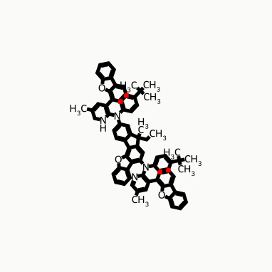 CCC1(C)c2cc(N(C3=C(c4cccc5c4oc4ccccc45)C=C(C)CN3)c3ccc(C(C)(C)C)cc3)ccc2-c2c1cc(N(c1ccc(C(C)(C)C)cc1)c1ncc(C)cc1-c1cccc3c1oc1ccccc13)c1c2oc2ccccc21